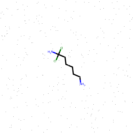 NCCCCCC(N)(Cl)Cl